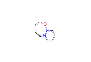 [c]1cccn2ccccn2o1